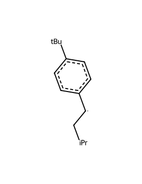 CC(C)C[CH]c1ccc(C(C)(C)C)cc1